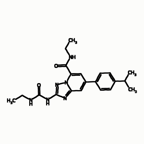 CCNC(=O)Nc1nc2cc(-c3ccc(C(C)C)cc3)cc(C(=O)NCC)n2n1